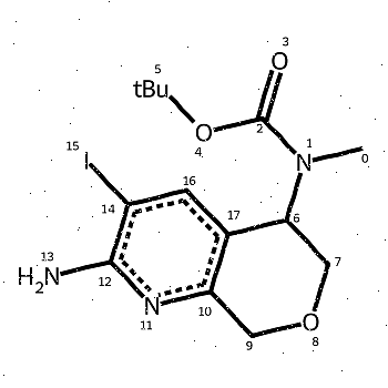 CN(C(=O)OC(C)(C)C)C1COCc2nc(N)c(I)cc21